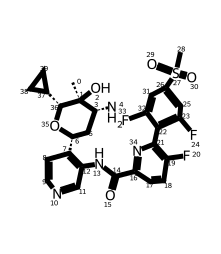 C[C@]1(O)[C@H](N)C[C@H](c2ccncc2NC(=O)c2ccc(F)c(-c3c(F)cc(S(C)(=O)=O)cc3F)n2)O[C@@H]1C1CC1